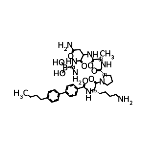 CCCCc1ccc(-c2ccc(C(=O)N[C@@H](CCCCN)C(=O)N3CCC[C@H]3C(=O)N[C@@H](C)C(=O)NC(CC(N)=O)C(=O)N[C@@H](N)B(O)O)cc2)cc1